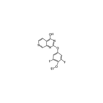 CCOc1c(F)cc(Oc2nc(O)c3ccncc3n2)cc1F